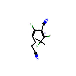 CC(C)(F)/C(F)=C(C#N)\C(F)=C/CCC#N